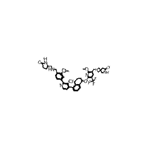 COc1cc(-c2nccc(-c3cccc4c3CCC[C@H]4Oc3nc(OC)c(CN4CC5(CNC(=O)C5)C4)cc3C(F)(F)F)c2Cl)ccc1CNC[C@H]1CCC(=O)N1